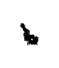 COc1c(N[C@H]2CC(=O)C(=O)[C@H](Cc3ccccc3)[C@H](OC(=O)C(C)C)[C@H](C)C(=O)C2=O)cnc(C)c1OC(=O)CCC(=O)OCc1ccccc1